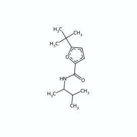 CC(C)C(C)NC(=O)c1ccc(C(C)(C)C)o1